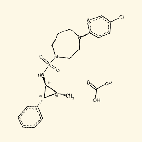 C[C@H]1[C@H](NS(=O)(=O)N2CCCN(c3ccc(Cl)cn3)CC2)[C@H]1c1ccccc1.O=C(O)O